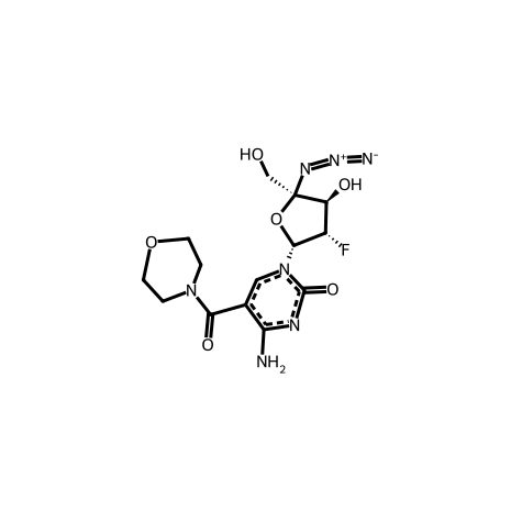 [N-]=[N+]=N[C@]1(CO)O[C@@H](n2cc(C(=O)N3CCOCC3)c(N)nc2=O)[C@@H](F)[C@@H]1O